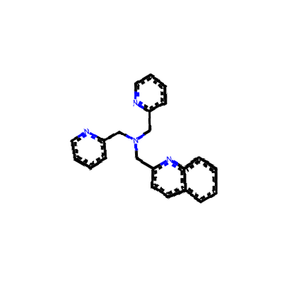 c1ccc(CN(Cc2ccccn2)Cc2ccc3ccccc3n2)nc1